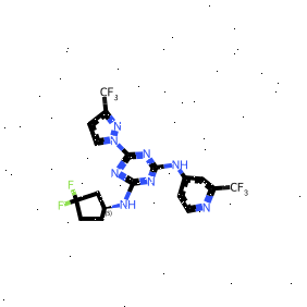 FC1(F)CC[C@H](Nc2nc(Nc3ccnc(C(F)(F)F)c3)nc(-n3ccc(C(F)(F)F)n3)n2)C1